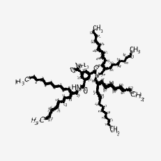 CCCCCCCCCCC(CCCCCCCC)CNC(=O)c1cc(C(N)=O)cc(C(=O)N(CC(CCCCCCCC)CCCCCCCCCC)CC(CCCCCCCC)CCCCCCCCCC)c1